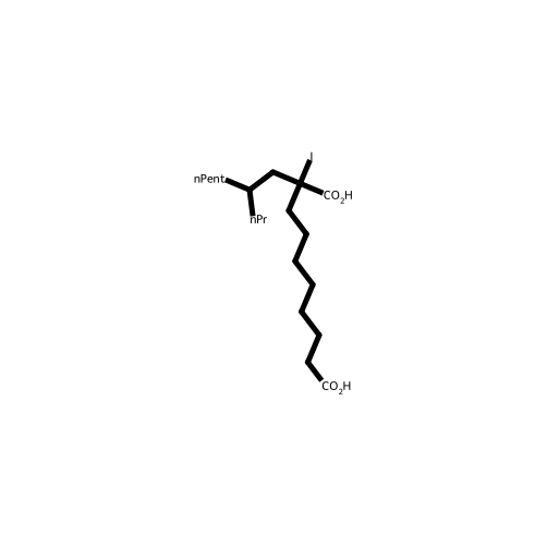 CCCCCC(CCC)CC(I)(CCCCCCCC(=O)O)C(=O)O